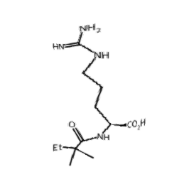 CCC(C)(C)C(=O)N[C@@H](CCCNC(=N)N)C(=O)O